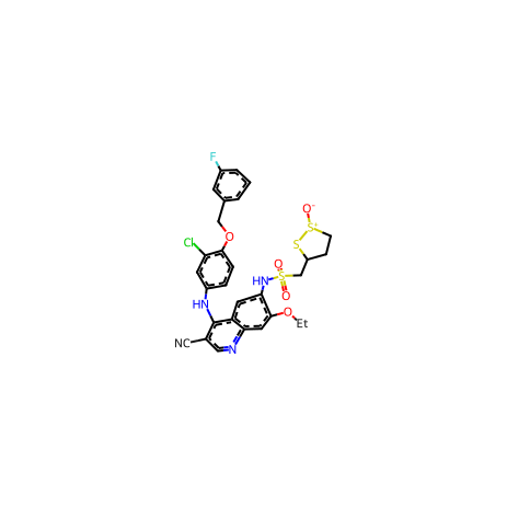 CCOc1cc2ncc(C#N)c(Nc3ccc(OCc4cccc(F)c4)c(Cl)c3)c2cc1NS(=O)(=O)CC1CC[S+]([O-])S1